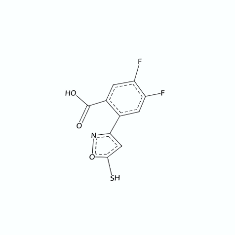 O=C(O)c1cc(F)c(F)cc1-c1cc(S)on1